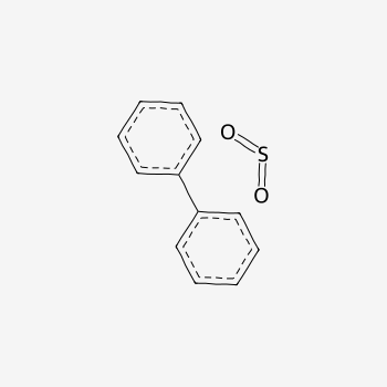 O=S=O.c1ccc(-c2ccccc2)cc1